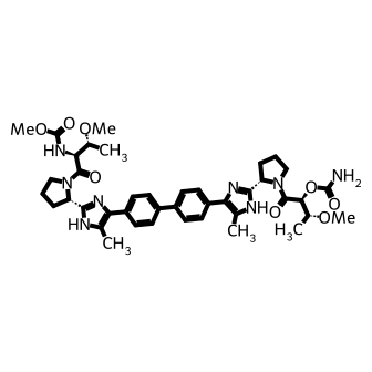 COC(=O)N[C@H](C(=O)N1CCC[C@H]1c1nc(-c2ccc(-c3ccc(-c4nc([C@@H]5CCCN5C(=O)[C@@H](OC(N)=O)[C@@H](C)OC)[nH]c4C)cc3)cc2)c(C)[nH]1)[C@@H](C)OC